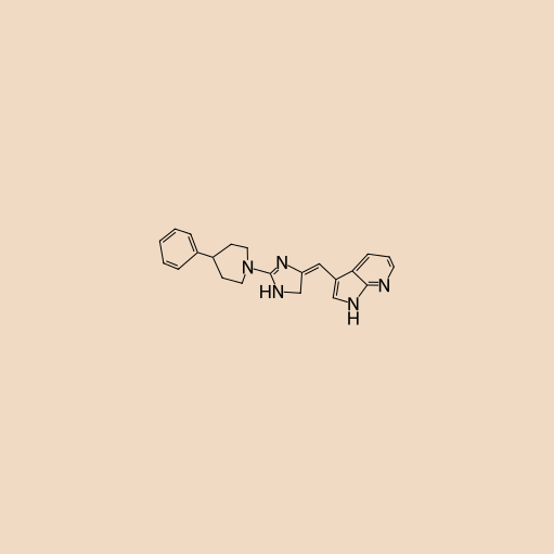 C(=C1CNC(N2CCC(c3ccccc3)CC2)=N1)c1c[nH]c2ncccc12